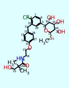 CS[C@H]1O[C@@H](c2ccc(Cl)c(Cc3ccc(OCCNC(=O)C(C)(C)CO)cc3)c2)[C@H](O)[C@@H](O)[C@@H]1O